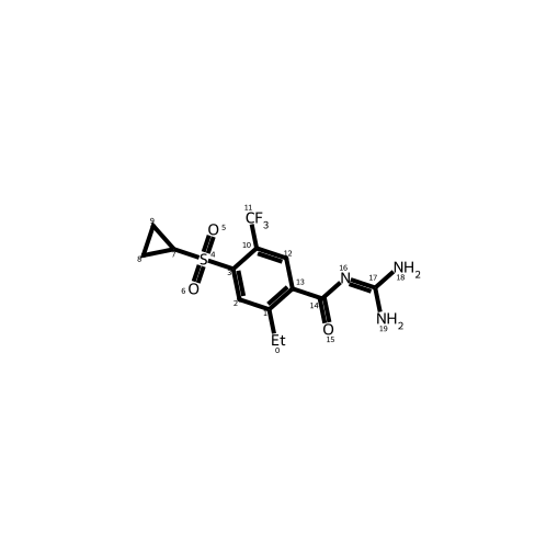 CCc1cc(S(=O)(=O)C2CC2)c(C(F)(F)F)cc1C(=O)N=C(N)N